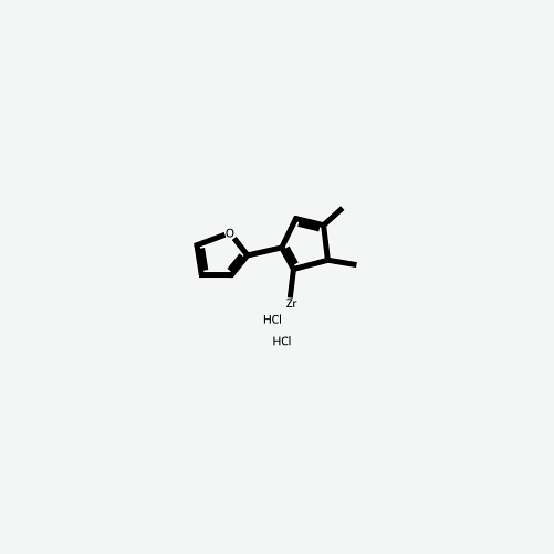 CC1=CC(c2ccco2)=[C]([Zr])C1C.Cl.Cl